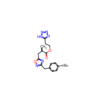 C=C(Cc1nc(Cc2ccc(CCCC)cc2)no1)C(=O)OCCc1nnn[nH]1